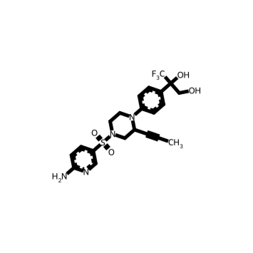 CC#CC1CN(S(=O)(=O)c2ccc(N)nc2)CCN1c1ccc(C(O)(CO)C(F)(F)F)cc1